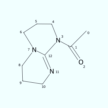 CC(=O)N1CCCN2CCCN=C21